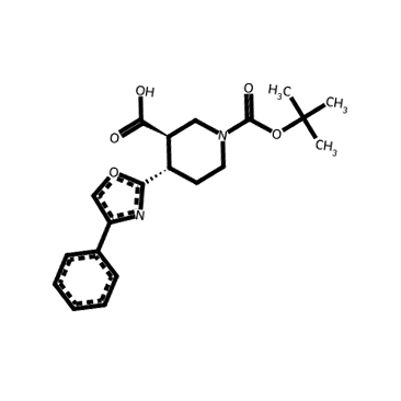 CC(C)(C)OC(=O)N1CC[C@H](c2nc(-c3ccccc3)co2)[C@@H](C(=O)O)C1